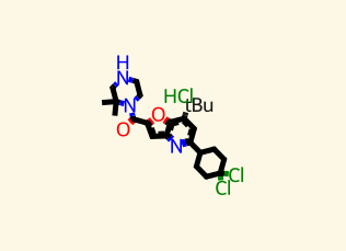 CC(C)(C)c1cc(C2CCC(Cl)(Cl)CC2)nc2cc(C(=O)N3CCNCC3(C)C)oc12.Cl